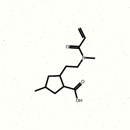 C=CC(=O)N(C)CCC1CC(C)CC1C(=O)O